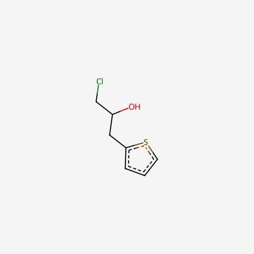 OC(CCl)Cc1cccs1